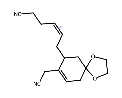 N#CCC/C=C\CC1CC2(CC=C1CC#N)OCCO2